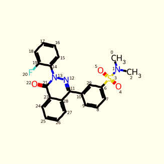 CN(C)S(=O)(=O)c1cccc(-c2nn(-c3ccccc3F)c(=O)c3ccccc23)c1